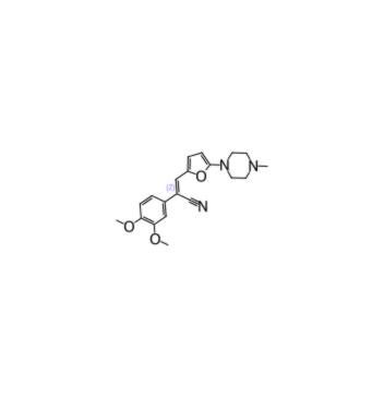 COc1ccc(/C(C#N)=C/c2ccc(N3CCN(C)CC3)o2)cc1OC